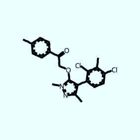 Cc1ccc(C(=O)COc2c(-c3ccc(Cl)c(C)c3Cl)c(C)nn2C)cc1